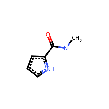 C[N]C(=O)c1ccc[nH]1